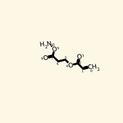 C=CC(=O)OCCC(=O)ON